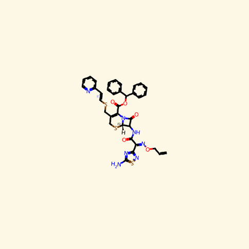 C=CCON=C(C(=O)NC1C(=O)N2C(C(=O)OC(c3ccccc3)c3ccccc3)=C(CS/C=C/c3ccccn3)CS[C@@H]12)c1nsc(N)n1